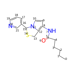 CCCCCC(=O)Nc1ccn2c1CSC2c1cccnc1